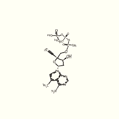 C#C[C@]1(COP(=O)(O)OP(=O)(O)OP(=O)(O)O)O[C@@H](n2cc(C)c3c(N)ncnc32)C[C@@H]1O